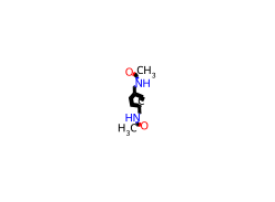 CC(=O)NCc1ccc(CNC(C)=O)cc1